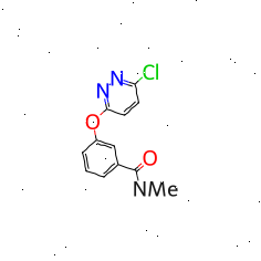 CNC(=O)c1cccc(Oc2ccc(Cl)nn2)c1